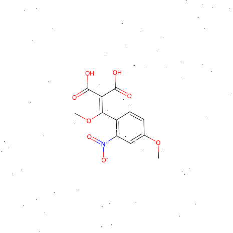 COC(=C(C(=O)O)C(=O)O)c1ccc(OC)cc1[N+](=O)[O-]